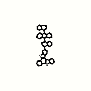 c1ccc2c(-c3c4ccccc4c(-c4ccc(-c5ccc6c(c5)sc5c7ccccc7c7sc8ccccc8c7c65)c5ccccc45)c4ccccc34)cccc2c1